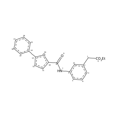 CCOC(=O)Cc1cccc(NC(=O)c2ccc(-c3ccccc3)o2)c1